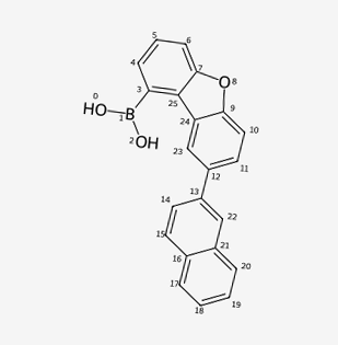 OB(O)c1cccc2oc3ccc(-c4ccc5ccccc5c4)cc3c12